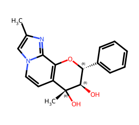 Cc1cn2ccc3c(c2n1)O[C@H](c1ccccc1)[C@@H](O)[C@]3(C)O